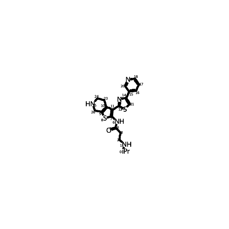 CC(C)NCCC(=O)Nc1sc2c(c1-c1nc(-c3cccnc3)cs1)CCNC2